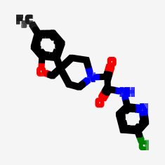 O=C(Nc1ccc(Cl)cn1)C(=O)N1CCC2(CC1)COc1cc(C(F)(F)F)ccc12